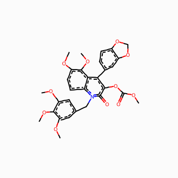 COC(=O)Oc1c(-c2ccc3c(c2)OCO3)c2c(OC)c(OC)ccc2n(Cc2cc(OC)c(OC)c(OC)c2)c1=O